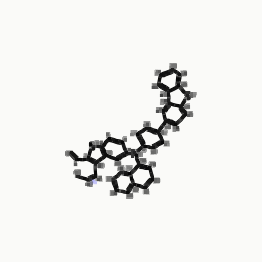 C=Cc1sc2ccc(N(c3ccc(-c4ccc5sc6ccccc6c5c4)cc3)c3cccc4ccccc34)cc2c1/C=C\C